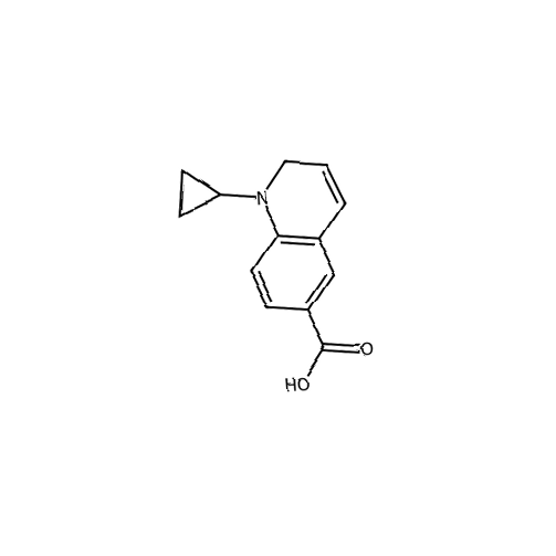 O=C(O)c1ccc2c(c1)C=CCN2C1CC1